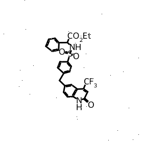 CCOC(=O)C(NS(=O)(=O)c1ccc(Cc2ccc3[nH]c(=O)cc(C(F)(F)F)c3c2)cc1)c1ccccc1